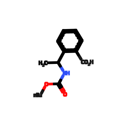 CCCCOC(=O)NC(C)c1ccccc1C(=O)O